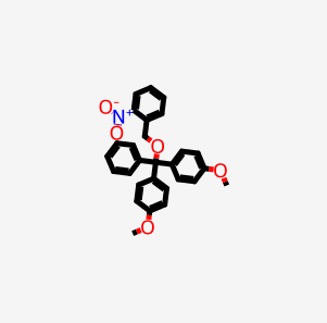 COc1ccc(C(OCc2ccccc2[N+](=O)[O-])(c2ccccc2)c2ccc(OC)cc2)cc1